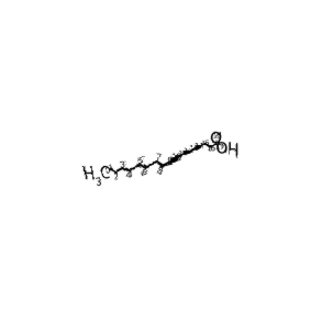 CCCCCCCCCC#CC#CC#CC=CC(=O)O